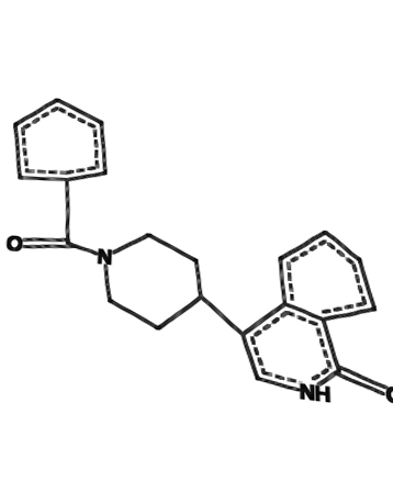 O=C(c1ccccc1)N1CCC(c2c[nH]c(=O)c3ccccc23)CC1